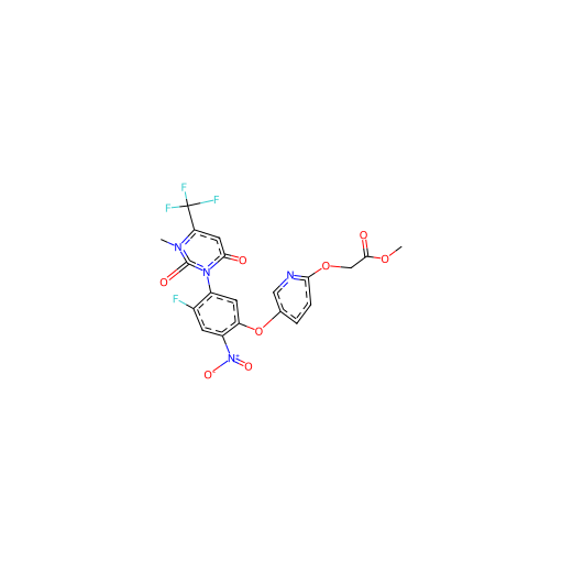 COC(=O)COc1ccc(Oc2cc(-n3c(=O)cc(C(F)(F)F)n(C)c3=O)c(F)cc2[N+](=O)[O-])cn1